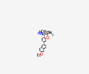 CCOc1ccc2cc(-c3ccc4c(c3)OCC(C)(C)C4NC(=O)O)ccc2c1